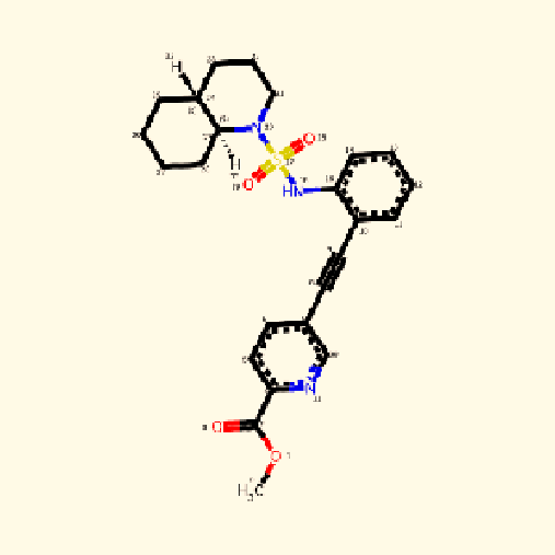 COC(=O)c1ccc(C#Cc2ccccc2NS(=O)(=O)N2CCC[C@H]3CCCC[C@@H]32)cn1